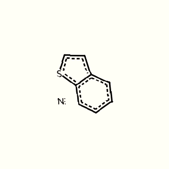 [N].c1ccc2sccc2c1